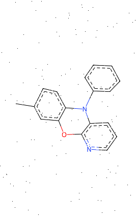 Cc1ccc2c(c1)Oc1ncccc1N2c1ccccc1